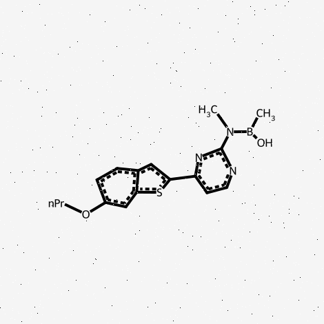 CCCOc1ccc2cc(-c3ccnc(N(C)B(C)O)n3)sc2c1